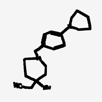 CC(C)(C)C1(CC#N)CCN(Cc2ccc(N3CCCCC3)cc2)CC1